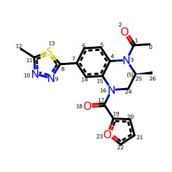 CC(=O)N1c2ccc(-c3nnc(C)s3)cc2N(C(=O)c2ccco2)C[C@@H]1C